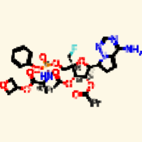 CC(C)C(=O)O[C@H]1[C@H](C2CC=C3C(N)=NC=NN32)O[C@](CF)(CO[P@@](=O)(N[C@@H](C)C(=O)OC2COC2)Oc2ccccc2)[C@H]1OC(=O)C(C)C